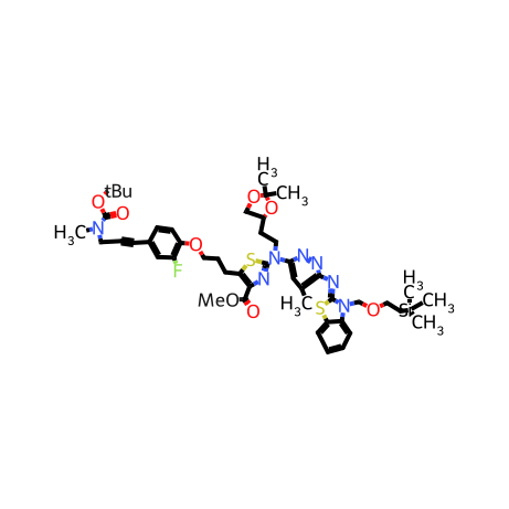 COC(=O)c1nc(N(CCC2COC(C)(C)O2)c2cc(C)c(/N=c3\sc4ccccc4n3COCC[Si](C)(C)C)nn2)sc1CCCOc1ccc(C#CCN(C)C(=O)OC(C)(C)C)cc1F